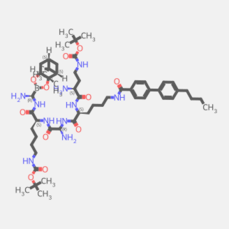 CCCCc1ccc(-c2ccc(C(=O)NCCCC[C@H](NC(=O)[C@@H](N)CCNC(=O)OC(C)(C)C)C(=O)N[C@@H](N)C(=O)N[C@@H](CCCCNC(=O)OC(C)(C)C)C(=O)N[C@@H](N)B3OC4C[C@@H]5C[C@@H](C5(C)C)[C@]4(C)O3)cc2)cc1